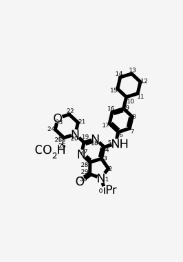 CC(C)N1Cc2c(Nc3ccc(C4CCCCC4)cc3)nc(N3CCOC[C@H]3C(=O)O)nc2C1=O